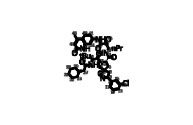 CCC[C@H](NC(=O)[C@@H]1C[C@]2(CC(c3cccc(Cl)c3)=NO2)CN1C(=O)[C@@H](NC(=O)CC1CCCCC1)C(C)(C)C)C(=O)C(=O)Nc1ccc2c(C)cc(=O)[nH]c2c1